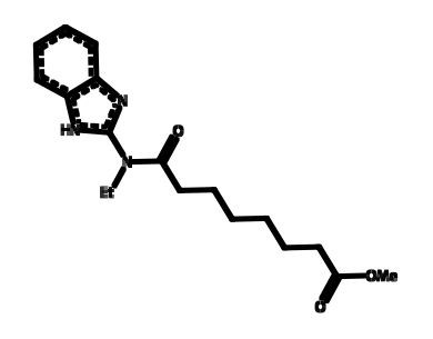 CCN(C(=O)CCCCCCC(=O)OC)c1nc2ccccc2[nH]1